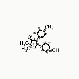 Cc1ccc(C2=C(c3ccc(O)cc3)OC(C)(C)C2=O)cc1